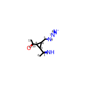 CC(=N)C1C(CN=[N+]=[N-])C1C(C)=O